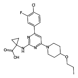 CCCOC1CCN(c2cc(-c3ccc(Cl)c(F)c3)nc(NC3(C(=O)O)CC3)n2)CC1